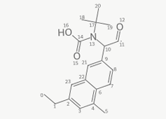 CCc1cc(C)c2ccc(C([C]=O)N(C(=O)O)C(C)(C)C)cc2c1